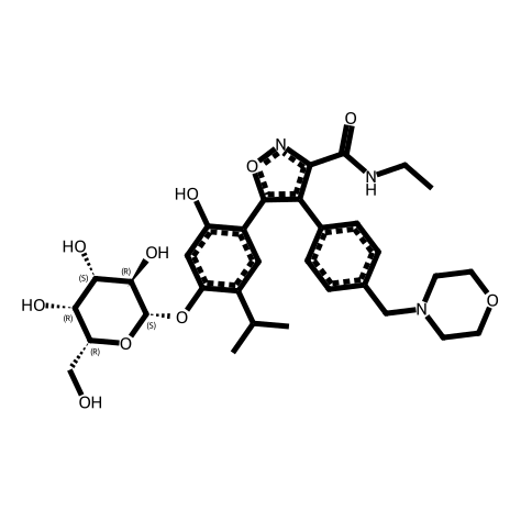 CCNC(=O)c1noc(-c2cc(C(C)C)c(O[C@@H]3O[C@H](CO)[C@H](O)[C@H](O)[C@H]3O)cc2O)c1-c1ccc(CN2CCOCC2)cc1